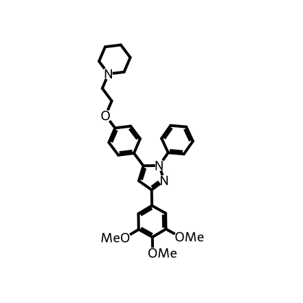 COc1cc(-c2cc(-c3ccc(OCCN4CCCCC4)cc3)n(-c3ccccc3)n2)cc(OC)c1OC